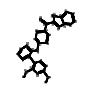 COc1ccc(-c2cccnc2Oc2ccc(C(=O)c3nc4ccccc4[nH]3)cc2)c(OC)n1